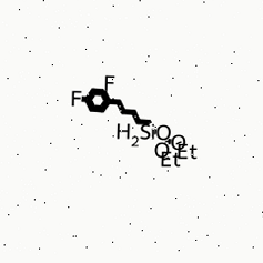 CCOC(OCC)O[SiH2]CCCCCc1ccc(F)cc1F